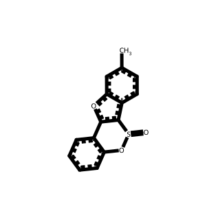 Cc1ccc2c3c(oc2c1)-c1ccccc1OS3=O